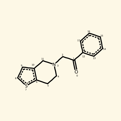 O=C(CN1CCc2sccc2C1)c1ccccc1